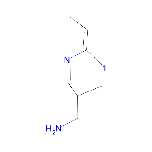 C\C=C(I)/N=C\C(C)=C/N